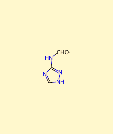 O=[C]Nc1nc[nH]n1